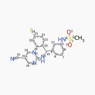 CS(=O)(=O)Nc1cccc(C(Nc2ncc(C#N)cn2)c2ccc(F)cc2)c1